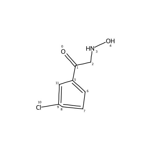 O=C(CNO)c1cccc(Cl)c1